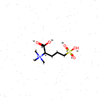 C[N+](C)(C)C(CCCS(=O)(=O)O)C(=O)[O-]